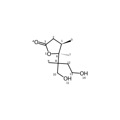 C[C@@H]1CC(=O)O[C@]1(C)C(C)(CO)CCO